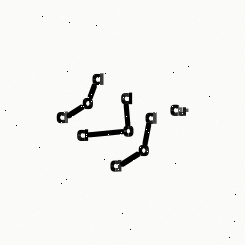 ClOCl.ClOCl.ClOCl.[Cu]